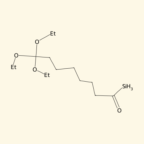 CCOC(CCCCCCC(=O)[SiH3])(OCC)OCC